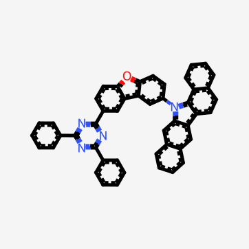 c1ccc(-c2nc(-c3ccccc3)nc(-c3ccc4oc5ccc(-n6c7cc8ccccc8cc7c7ccc8ccccc8c76)cc5c4c3)n2)cc1